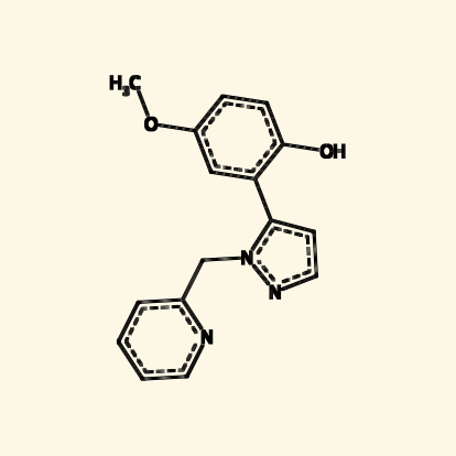 COc1ccc(O)c(-c2ccnn2Cc2ccccn2)c1